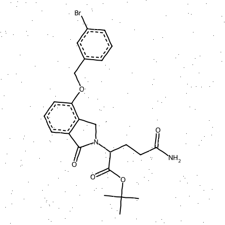 CC(C)(C)OC(=O)C(CCC(N)=O)N1Cc2c(OCc3cccc(Br)c3)cccc2C1=O